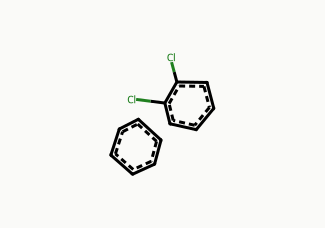 Clc1ccccc1Cl.c1ccccc1